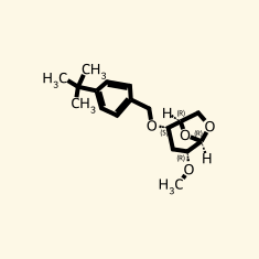 CO[C@@H]1C[C@H](OCc2ccc(C(C)(C)C)cc2)[C@H]2CO[C@@H]1O2